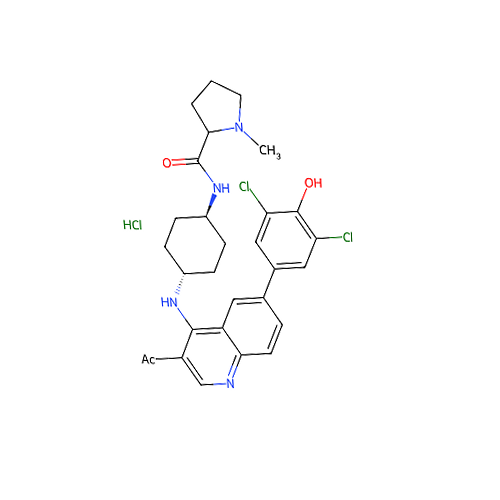 CC(=O)c1cnc2ccc(-c3cc(Cl)c(O)c(Cl)c3)cc2c1N[C@H]1CC[C@H](NC(=O)C2CCCN2C)CC1.Cl